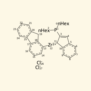 CCCCCCP(CCCCCC)C1=Cc2ccccc2[CH]1[Zr+2][c]1cccc2c1Cc1ccccc1-2.[Cl-].[Cl-]